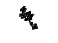 CCCCC(CC)COCCCNC(=O)[C@H](O)[C@@H](O)[C@H](O)[C@H](O)COS(=O)(=O)[O-].[Na+]